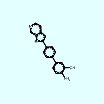 Nc1ccc(-c2ccc(-c3cc4ccncc4[nH]3)cc2)cc1O